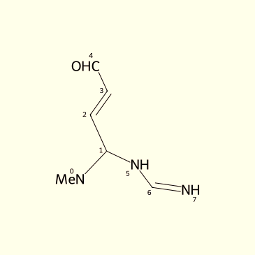 CNC(/C=C/C=O)NC=N